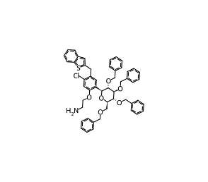 NCCOc1cc(Cl)c(Cc2cc3ccccc3s2)cc1[C@@H]1O[C@H](COCc2ccccc2)[C@@H](OCc2ccccc2)[C@H](OCc2ccccc2)[C@H]1OCc1ccccc1